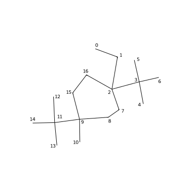 CCC1(C(C)(C)C)CCC(C)(C(C)(C)C)CC1